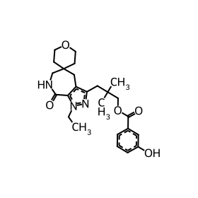 CCn1nc(CC(C)(C)COC(=O)c2cccc(O)c2)c2c1C(=O)NCC1(CCOCC1)C2